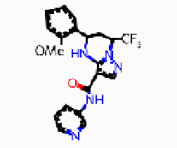 COc1ccccc1C1CC(C(F)(F)F)n2ncc(C(=O)Nc3cccnc3)c2N1